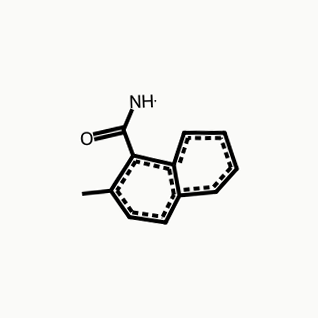 Cc1ccc2ccccc2c1C([NH])=O